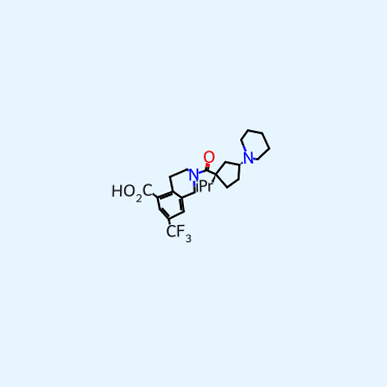 CC(C)[C@]1(C(=O)N2CCc3c(cc(C(F)(F)F)cc3C(=O)O)C2)CC[C@@H](N2CCCCC2)C1